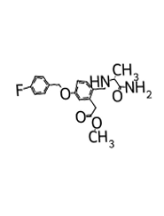 COC(=O)Cc1cc(OCc2ccc(F)cc2)ccc1CN[C@H](C)C(N)=O